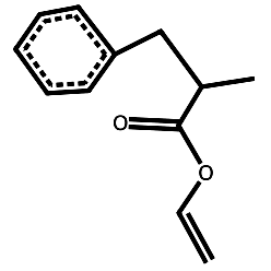 C=COC(=O)C(C)Cc1ccccc1